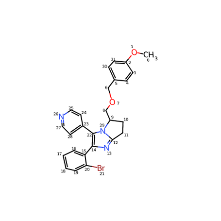 COc1ccc(COCC2CCc3nc(-c4ccccc4Br)c(-c4ccncc4)n32)cc1